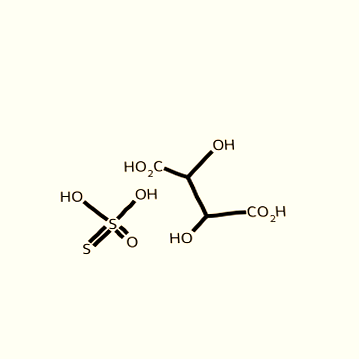 O=C(O)C(O)C(O)C(=O)O.O=S(O)(O)=S